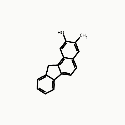 Cc1cc2ccc3c(c2cc1O)Cc1ccccc1-3